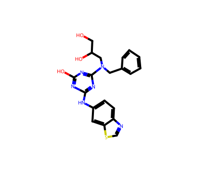 OCC(O)CN(Cc1ccccc1)c1nc(O)nc(Nc2ccc3ncsc3c2)n1